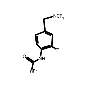 CCCC(=O)Nc1ccc(CNC(F)(F)F)cc1F